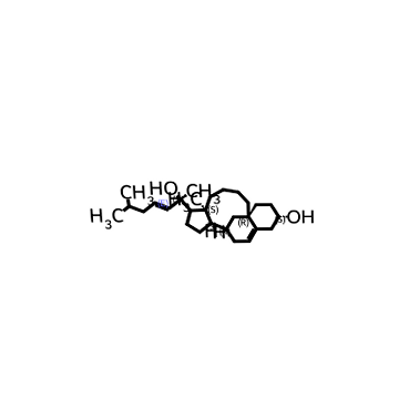 CC(C)C/C=C/[C@](C)(O)C1CC[C@H]2[C@@H]3CC=C4C[C@@H](O)CC[C@]4(CCCC[C@]12C)C3